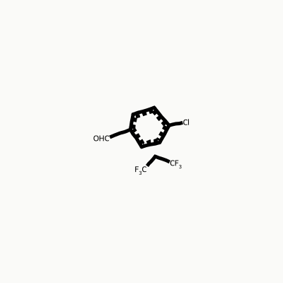 FC(F)(F)CC(F)(F)F.O=Cc1ccc(Cl)cc1